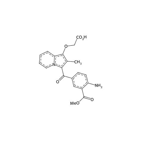 COC(=O)c1cc(C(=O)c2c(C)c(OCC(=O)O)c3ccccn23)ccc1N